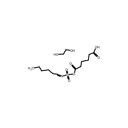 CCCCCC=NS(=O)(=O)OC(=O)CCCCC(=O)O.OCCO